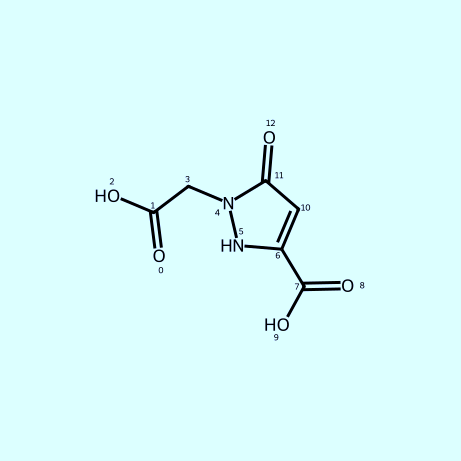 O=C(O)Cn1[nH]c(C(=O)O)cc1=O